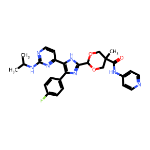 CC(C)Nc1nccc(-c2[nH]c(C3OCC(C)(C(=O)Nc4ccncc4)CO3)nc2-c2ccc(F)cc2)n1